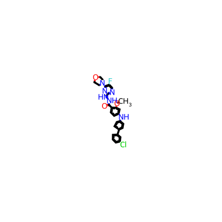 COc1cc(Nc2ccc(-c3cccc(Cl)c3)cc2)ccc1C(=O)NNc1ncc(F)c(N2CCOCC2)n1